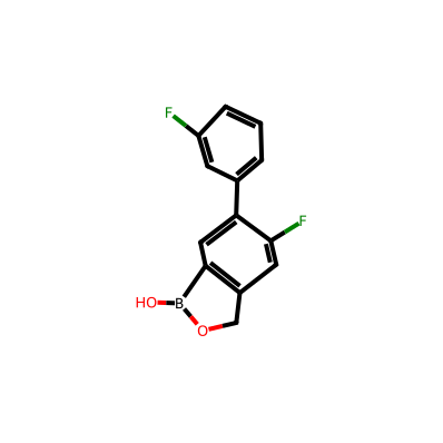 OB1OCc2cc(F)c(-c3cccc(F)c3)cc21